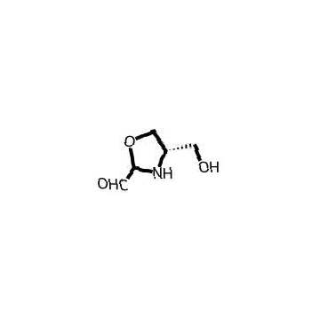 O=CC1N[C@@H](CO)CO1